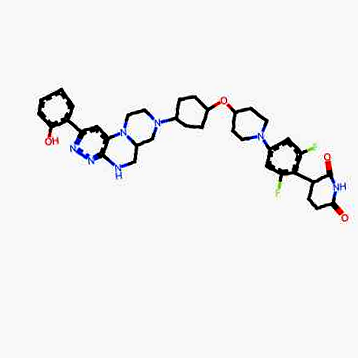 O=C1CCC(c2c(F)cc(N3CCC(OC4CCC(N5CCN6c7cc(-c8ccccc8O)nnc7NCC6C5)CC4)CC3)cc2F)C(=O)N1